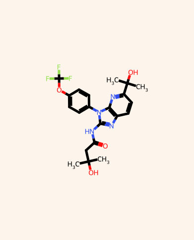 CC(C)(O)CC(=O)Nc1nc2ccc(C(C)(C)O)nc2n1-c1ccc(OC(F)(F)F)cc1